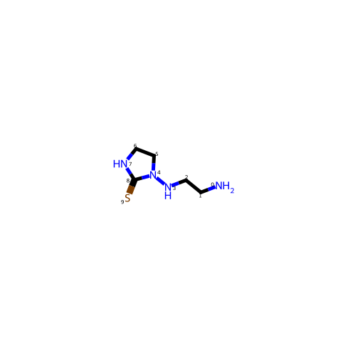 NCCNN1CCNC1=S